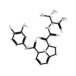 Cc1cc(NC(=O)C2C=CC=C3CCC(C(=O)C(=O)N[C@H](C(N)=O)[C@@H](C)O)N32)ccc1F